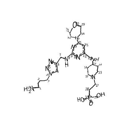 NCCCn1cc(CNc2nc(NC3CCN(CCP(=O)(O)O)CC3)cc(N3CCOCC3)n2)nn1